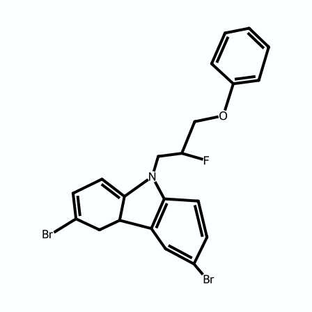 FC(COc1ccccc1)CN1C2=CC=C(Br)CC2c2cc(Br)ccc21